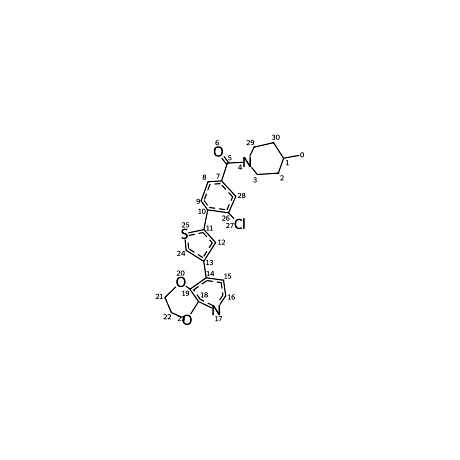 CC1CCN(C(=O)c2ccc(-c3cc(-c4ccnc5c4OCCO5)cs3)c(Cl)c2)CC1